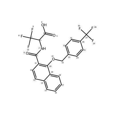 O=C(NC(C(=O)O)C(F)(F)F)c1ccc2ccccc2c1OCc1ccc(C(F)(F)F)cc1